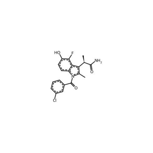 Cc1c([C@@H](C)C(N)=O)c2c(F)c(O)ccc2n1C(=O)c1cccc(Cl)c1